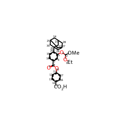 CCOC(OC)Oc1cc(C(=O)Oc2ccc(C(=O)O)cc2)ccc1C12CC3CC(CC(C3)C1)C2